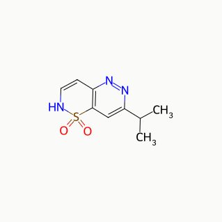 CC(C)c1cc2c(nn1)C=CNS2(=O)=O